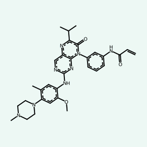 C=CC(=O)Nc1cccc(-n2c(=O)c(C(C)C)nc3cnc(Nc4cc(C)c(N5CCN(C)CC5)cc4OC)nc32)c1